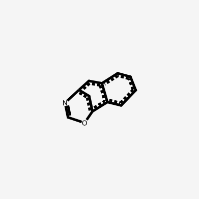 C1=Nc2cc(c3ccccc3c2)O1